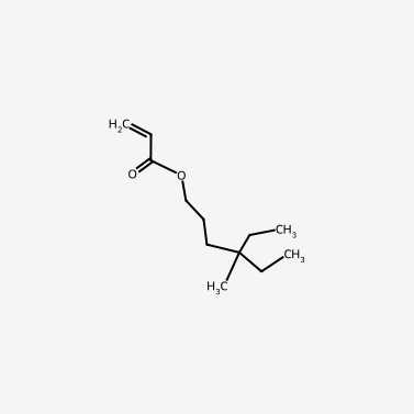 C=CC(=O)OCCCC(C)(CC)CC